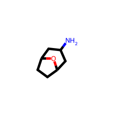 NC1CC2CCC(C1)O2